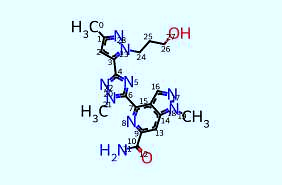 Cc1cc(-c2nc(-c3nc(C(N)=O)cc4c3cnn4C)n(C)n2)n(CCCO)n1